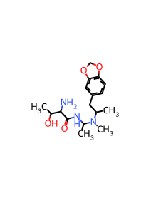 CC(O)C(N)C(=O)NC(C)N(C)C(C)Cc1ccc2c(c1)OCO2